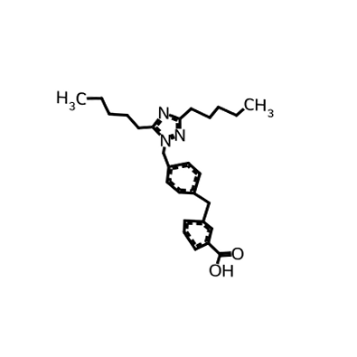 CCCCCc1nc(CCCCC)n(Cc2ccc(Cc3cccc(C(=O)O)c3)cc2)n1